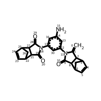 C=C1C2C3C=CC(C3)C2C(=O)N1c1cc(N)cc(N2C(=O)C3C4C=CC(C4)C3C2=O)c1